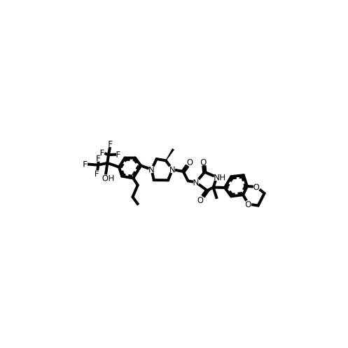 CCCc1cc(C(O)(C(F)(F)F)C(F)(F)F)ccc1N1CCN(C(=O)CN2C(=O)NC(C)(c3ccc4c(c3)OCCO4)C2=O)[C@H](C)C1